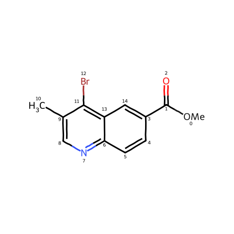 COC(=O)c1ccc2ncc(C)c(Br)c2c1